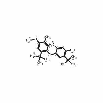 Cc1cc(Sc2cc(C(C)(C)C)c(O)cc2C)c(C(C)(C)C)cc1OP